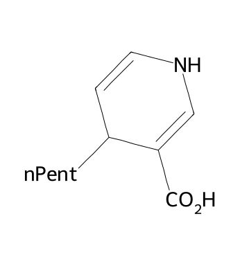 CCCCCC1C=CNC=C1C(=O)O